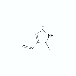 CN1NNC=C1C=O